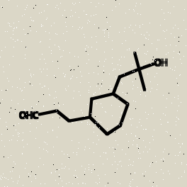 CC(C)(O)CC1CCCC(CCC=O)C1